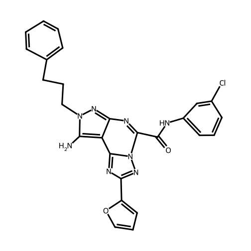 Nc1c2c(nc(C(=O)Nc3cccc(Cl)c3)n3nc(-c4ccco4)nc23)nn1CCCc1ccccc1